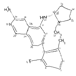 Cc1cccc(F)c1-c1cc(N[C@@H]2CCCN2C)c2cc(N)ncc2c1